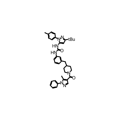 Cc1ccc(-n2nc(C(C)(C)C)cc2NC(=O)Nc2cccc(CC3CCN(C(=O)c4cnn(-c5ccccc5)c4C)CC3)c2)cc1